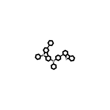 c1ccc(-c2ccc3c(c2)c2cc(N(c4ccccc4)c4ccc(-c5cccc6c5sc5ccccc56)cc4)ccc2n3-c2ccccc2)cc1